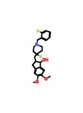 COc1cc2c(cc1OC)C(O)C(CC1(F)CCN(Cc3ccccc3F)CC1)C2